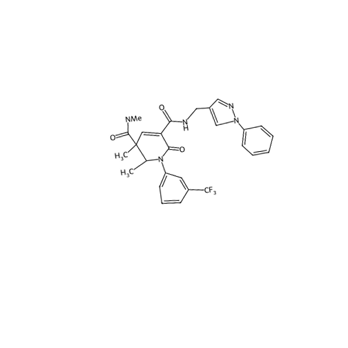 CNC(=O)C1(C)C=C(C(=O)NCc2cnn(-c3ccccc3)c2)C(=O)N(c2cccc(C(F)(F)F)c2)C1C